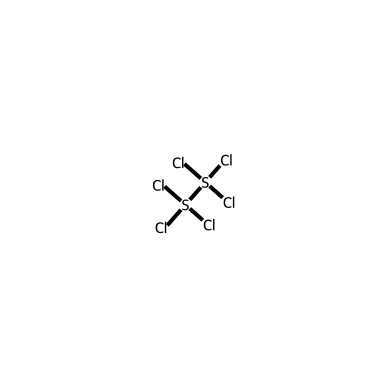 ClS(Cl)(Cl)S(Cl)(Cl)Cl